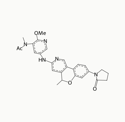 COc1ncc(Nc2cc3c(cn2)-c2ccc(N4CCCC4=O)cc2OC3C)cc1N(C)C(C)=O